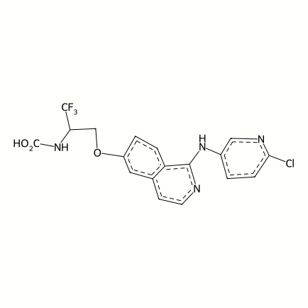 O=C(O)NC(COc1ccc2c(Nc3ccc(Cl)nc3)nccc2c1)C(F)(F)F